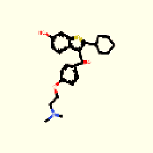 CN(C)CCOc1ccc(C(=O)c2c(C3CCCCC3)sc3cc(O)ccc23)cc1